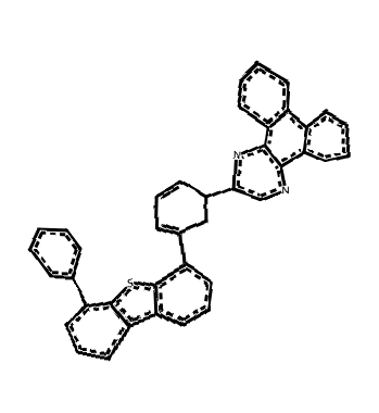 C1=CC(c2cnc3c4ccccc4c4ccccc4c3n2)CC(c2cccc3c2sc2c(-c4ccccc4)cccc23)=C1